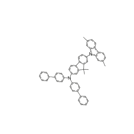 Cc1ccc2c3ccc(C)cc3n(-c3ccc4c(c3)C(C)(C)c3cc(N(c5ccc(-c6ccccc6)cc5)c5ccc(-c6ccccc6)cc5)ccc3-4)c2c1